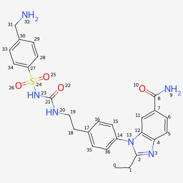 CCc1nc2ccc(C(N)=O)cc2n1-c1ccc(CCNC(=O)NS(=O)(=O)c2ccc(CN)cc2)cc1